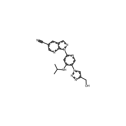 CC(C)Nc1cc(-n2ncc3cc(C#N)cnc32)ncc1-n1cc(CO)nn1